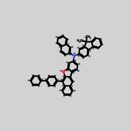 CC1(C)c2ccccc2-c2ccc(N(c3ccc4ccccc4c3)c3ccc4c(c3)oc3c(-c5ccc(-c6ccccc6)cc5)c5ccccc5cc34)cc21